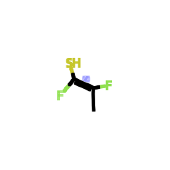 C/C(F)=C(\F)S